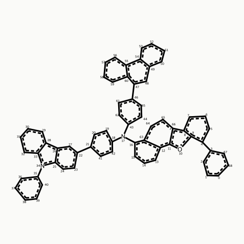 c1ccc(-c2cccc3c2oc2c4cccc(N(c5ccc(-c6ccc7c(c6)c6ccccc6n7-c6ccccc6)cc5)c5ccc(-c6cc7ccccc7c7ccccc67)cc5)c4ccc32)cc1